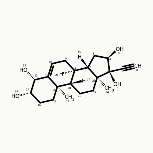 C#C[C@@]1(O)[C@H](O)C[C@H]2[C@@H]3CC=C4[C@@H](O)[C@@H](O)CC[C@]4(C)[C@H]3CC[C@@]21C